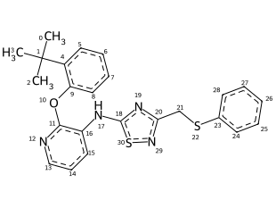 CC(C)(C)c1ccccc1Oc1ncccc1Nc1nc(CSc2ccccc2)ns1